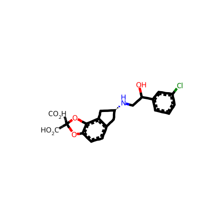 O=C(O)C1(C(=O)O)Oc2ccc3c(c2O1)C[C@H](NCC(O)c1cccc(Cl)c1)C3